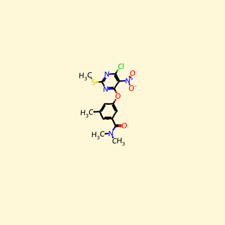 CSc1nc(Cl)c([N+](=O)[O-])c(Oc2cc(C)cc(C(=O)N(C)C)c2)n1